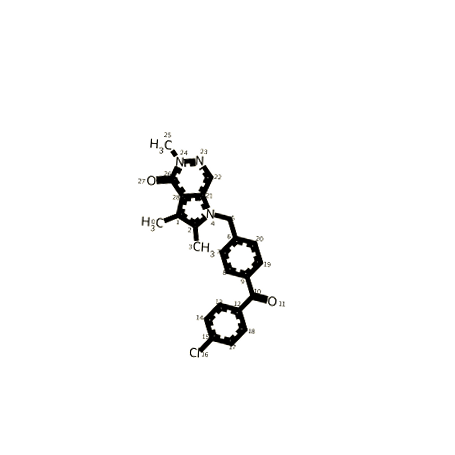 Cc1c(C)n(Cc2ccc(C(=O)c3ccc(Cl)cc3)cc2)c2cnn(C)c(=O)c12